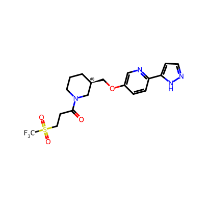 O=C(CCS(=O)(=O)C(F)(F)F)N1CCC[C@@H](COc2ccc(-c3ccn[nH]3)nc2)C1